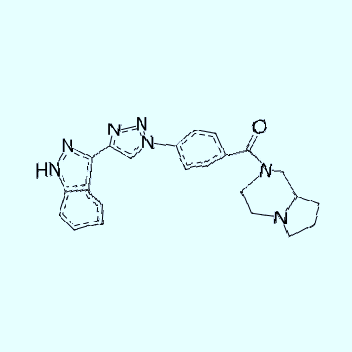 O=C(c1ccc(-n2cc(-c3n[nH]c4ccccc34)nn2)cc1)N1CCN2CCCC2C1